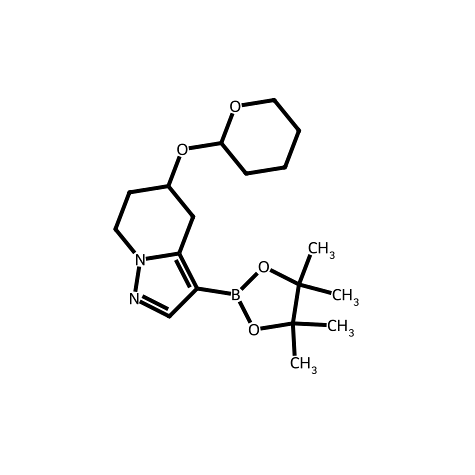 CC1(C)OB(c2cnn3c2CC(OC2CCCCO2)CC3)OC1(C)C